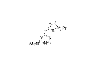 CNc1cc(CC2CCN(C(C)C)C2)ncn1